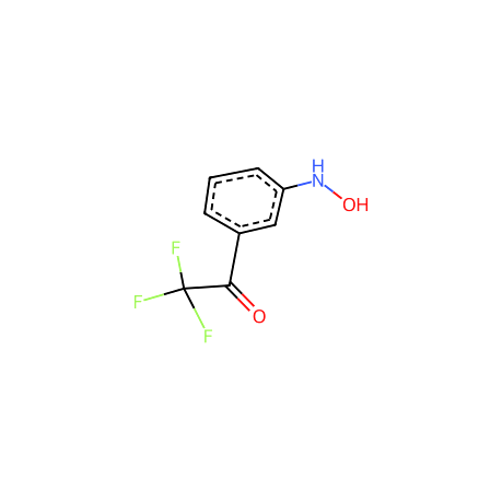 O=C(c1cccc(NO)c1)C(F)(F)F